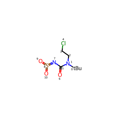 CC(C)(C)N(CCCl)C(=O)N=S(=O)=O